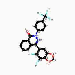 O=c1c2ccccc2c(-c2cc3c(c(F)c2F)OCO3)nn1-c1ccc(C(F)(F)F)cc1